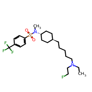 CCN(CCF)CCCCC[C@H]1CC[C@H](N(C)S(=O)(=O)c2ccc(C(F)(F)F)cc2)CC1